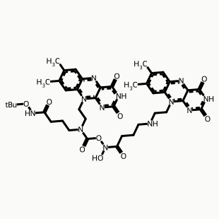 Cc1cc2nc3c(=O)[nH]c(=O)nc-3n(CCNCCCC(=O)N(O)OC(=O)N(CCCC(=O)NOC(C)(C)C)CCn3c4nc(=O)[nH]c(=O)c-4nc4cc(C)c(C)cc43)c2cc1C